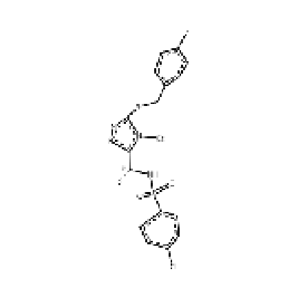 CCn1c(SCc2ccc(F)cc2)nnc1[C@@H](C)NS(=O)(=O)c1ccc(Cl)cc1